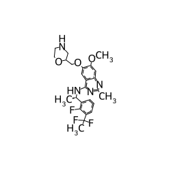 COc1cc2nc(C)nc(N[C@H](C)c3cccc(C(C)(F)F)c3F)c2cc1OCC1CNCCO1